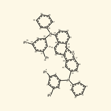 CC(C)c1cc(C(C)C)cc(N(c2ccccc2)c2ccc3oc4c5cccc(N(c6ccccc6)c6cc(C(C)C)cc(C(C)C)c6)c5ccc4c3c2)c1